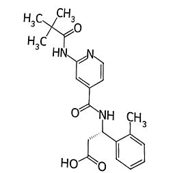 Cc1ccccc1[C@H](CC(=O)O)NC(=O)c1ccnc(NC(=O)C(C)(C)C)c1